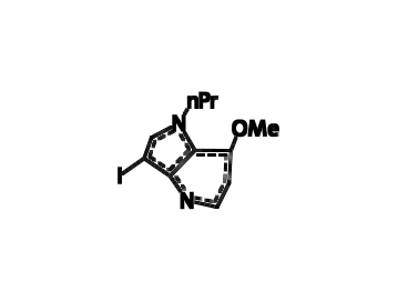 CCCn1cc(I)c2nccc(OC)c21